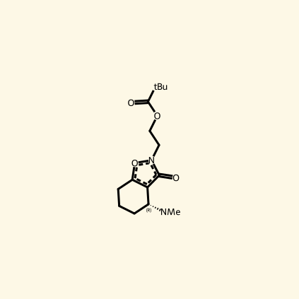 CN[C@@H]1CCCc2on(CCOC(=O)C(C)(C)C)c(=O)c21